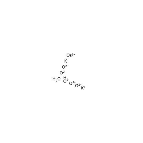 O.O.[K+].[K+].[O-2].[O-2].[O-2].[O-2].[Os+6]